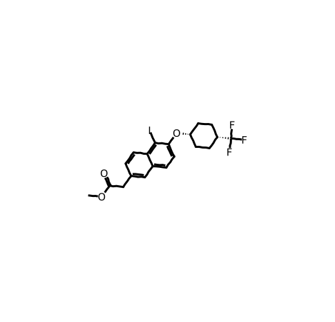 COC(=O)Cc1ccc2c(I)c(O[C@H]3CC[C@@H](C(F)(F)F)CC3)ccc2c1